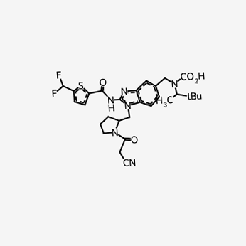 CC(N(Cc1ccc2c(c1)nc(NC(=O)c1ccc(C(F)F)s1)n2CC1CCCN1C(=O)CC#N)C(=O)O)C(C)(C)C